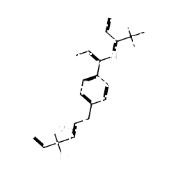 C=C/C(=N\C(=C\C)c1ccc(C/C=C/C(C=C)(CC)OC)cc1)C(C)(F)F